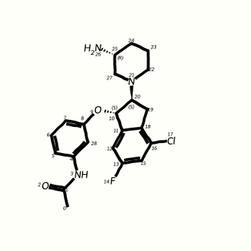 CC(=O)Nc1cccc(O[C@H]2c3cc(F)cc(Cl)c3C[C@@H]2N2CCC[C@@H](N)C2)c1